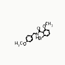 COc1ccc(CNC(=O)c2c(Br)cccc2OC)cc1